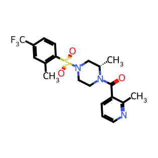 Cc1cc(C(F)(F)F)ccc1S(=O)(=O)N1CCN(C(=O)c2cccnc2C)[C@@H](C)C1